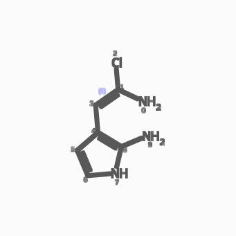 N/C(Cl)=C\c1cc[nH]c1N